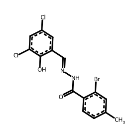 Cc1ccc(C(=O)N/N=C/c2cc(Cl)cc(Cl)c2O)c(Br)c1